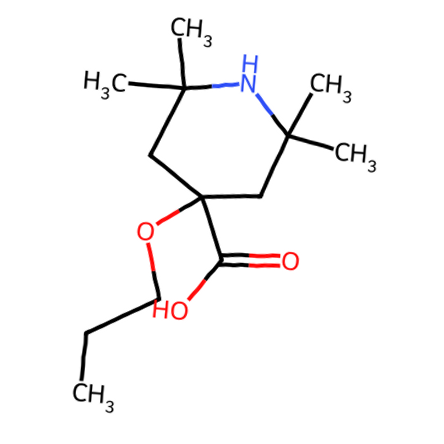 CCCOC1(C(=O)O)CC(C)(C)NC(C)(C)C1